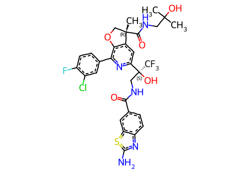 CC(C)(O)CNC(=O)[C@@]1(C)COc2c1cc([C@@](O)(CNC(=O)c1ccc3nc(N)sc3c1)C(F)(F)F)nc2-c1ccc(F)c(Cl)c1